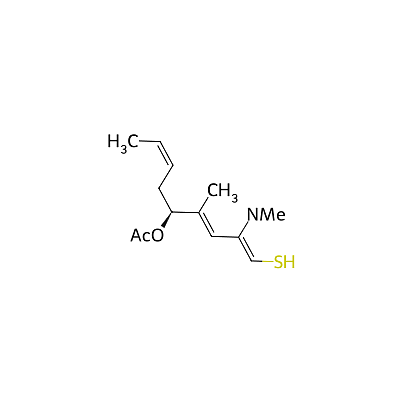 C/C=C\C[C@H](OC(C)=O)/C(C)=C/C(=C/S)NC